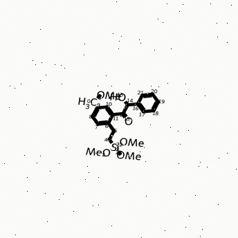 COC.CO[Si](CCc1ccccc1C(=O)C(O)c1ccccc1)(OC)OC